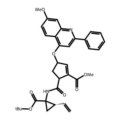 C=C[C@@H]1CC1(NC(=O)C1CC(Oc2cc(-c3ccccc3)nc3cc(OC)ccc23)C=C1C(=O)OC)C(=O)OC(C)(C)C